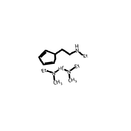 CCNCCC1C=CC=C1.CC[N](C)[Hf][N](C)CC